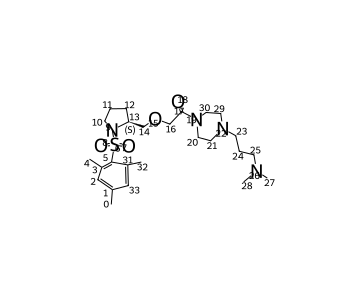 Cc1cc(C)c(S(=O)(=O)N2CCC[C@H]2COCC(=O)N2CCN(CCCN(C)C)CC2)c(C)c1